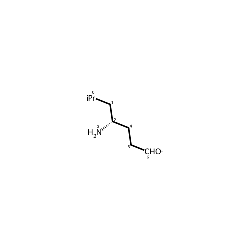 CC(C)C[C@@H](N)CC[C]=O